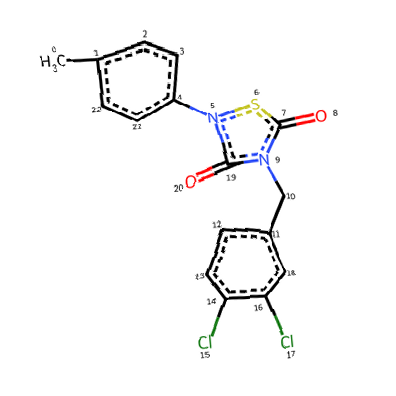 Cc1ccc(-n2sc(=O)n(Cc3ccc(Cl)c(Cl)c3)c2=O)cc1